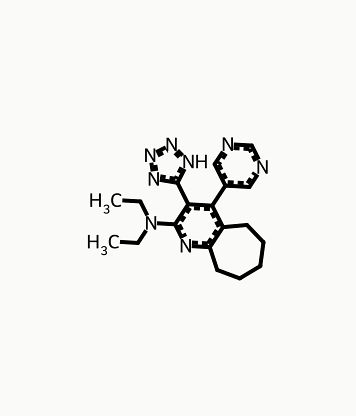 CCN(CC)c1nc2c(c(-c3cncnc3)c1-c1nnn[nH]1)CCCCC2